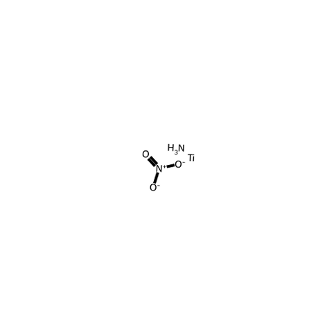 N.O=[N+]([O-])[O-].[Ti]